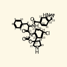 O=C(NC(Cc1ccccc1)C(=O)N1C(=O)OC2(CCNC2)c2cc(Cl)ccc21)c1ccc2cn[nH]c2c1